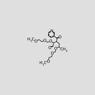 COCCOCOC(C)CC(C(=O)c1cccnc1)C(C=O)OCOCCOC